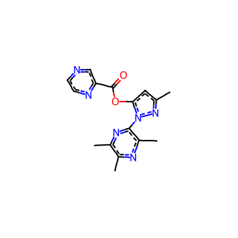 Cc1cc(OC(=O)c2cnccn2)n(-c2nc(C)c(C)nc2C)n1